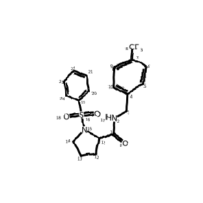 O=C(NCc1ccc(C(F)(F)F)cc1)C1CCCN1S(=O)(=O)c1ccccc1